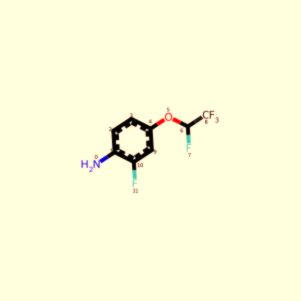 Nc1ccc(OC(F)C(F)(F)F)cc1F